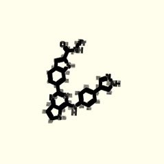 CC(C)NC(=O)c1cc2ccc(-c3nc(Nc4ccc(-c5cn[nH]c5)cc4)c4sccc4n3)cc2s1